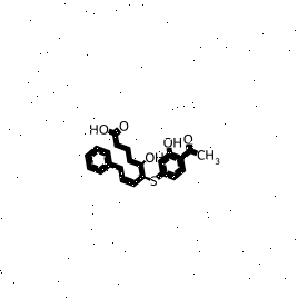 CC(=O)c1ccc(S[C@@H](/C=C\Cc2ccccc2)[C@H](O)CCCC(=O)O)cc1O